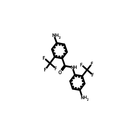 Nc1ccc(NC(=O)c2ccc(N)cc2C(F)(F)F)c(C(F)(F)F)c1